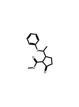 COC(=O)C1C(=O)CCC1C(C)Sc1ccccc1